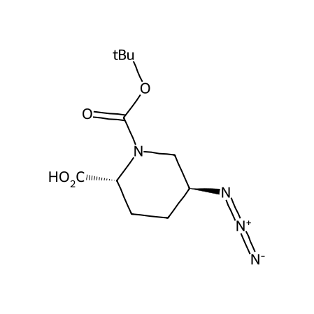 CC(C)(C)OC(=O)N1C[C@@H](N=[N+]=[N-])CC[C@@H]1C(=O)O